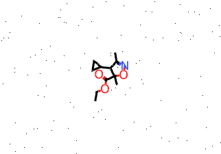 CCOC(=O)C1(C)ON=C(C)C1C1CC1